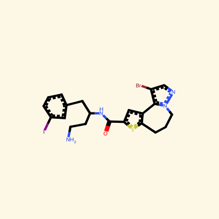 NCCC(Cc1cccc(I)c1)NC(=O)c1cc2c(s1)CCCn1ncc(Br)c1-2